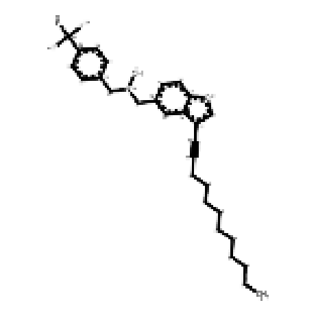 CCCCCCCCCCC#Cc1coc2ccc(CN(O)Cc3ccc(C(F)(F)F)cc3)cc12